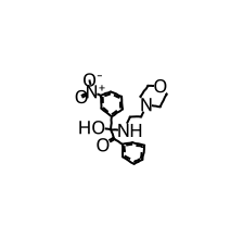 O=C(c1ccccc1)C(O)(NCCN1CCOCC1)c1cccc([N+](=O)[O-])c1